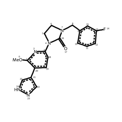 COc1nc(N2CCN(Cc3cccc(F)c3)C2=O)ccc1-c1cn[nH]c1